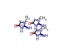 CN1CC(=O)NC1=N.CN1CC(=O)NC1=N.CN1CC(=O)NC1=N